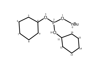 CCCCOP(OC1CCCCC1)OC1CCCCC1